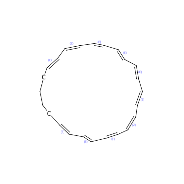 [C]1=C/C=C\C=C\C=C\C=C\C=C\C=C/C=C/C=C/C=C/CCCC/1